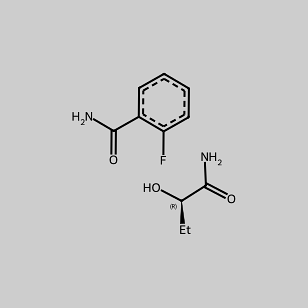 CC[C@@H](O)C(N)=O.NC(=O)c1ccccc1F